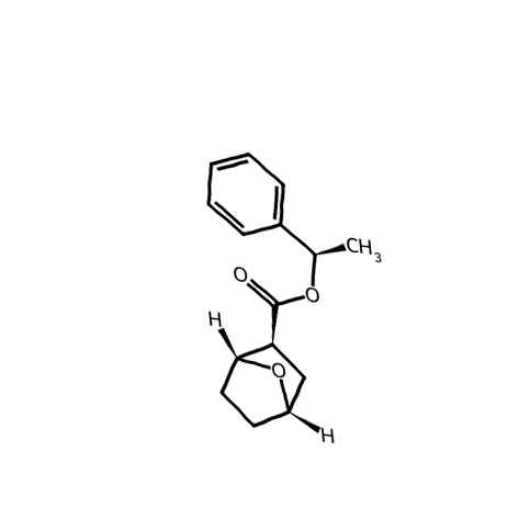 C[C@@H](OC(=O)[C@H]1C[C@@H]2CC[C@H]1O2)c1ccccc1